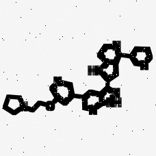 c1cncc(-c2nccc3[nH]c(-c4n[nH]c5ncc(-c6cncc(OCCN7CCCC7)c6)cc45)cc23)c1